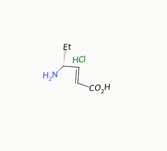 CC[C@@H](N)/C=C/C(=O)O.Cl